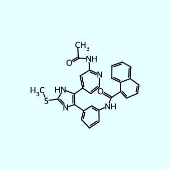 CSc1nc(-c2cccc(NC(=O)c3cccc4ccccc34)c2)c(-c2ccnc(NC(C)=O)c2)[nH]1